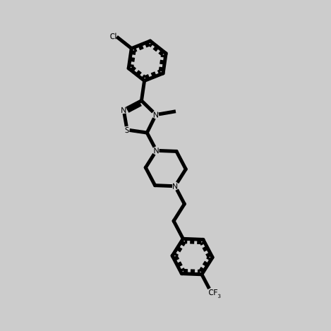 CN1C(c2cccc(Cl)c2)=NSC1N1CCN(CCc2ccc(C(F)(F)F)cc2)CC1